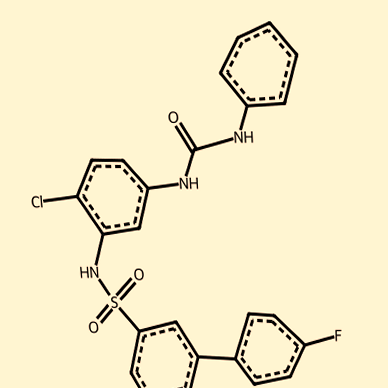 O=C(Nc1ccccc1)Nc1ccc(Cl)c(NS(=O)(=O)c2cccc(-c3ccc(F)cc3)c2)c1